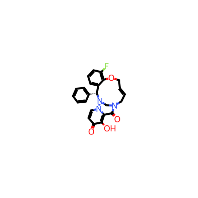 O=C1c2c(O)c(=O)ccn2N2CN1C/C=C/COc1c(F)cccc1[C@H]2c1ccccc1